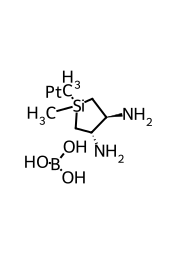 C[Si]1(C)C[C@@H](N)[C@H](N)C1.OB(O)O.[Pt]